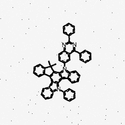 CC1(C)c2ccccc2-c2c1c1c(c3ccccc3n1-c1ccc3nc(-c4ccccc4)nc(-c4ccccc4)c3c1)c1c2c2ccccc2n1-c1ccccc1